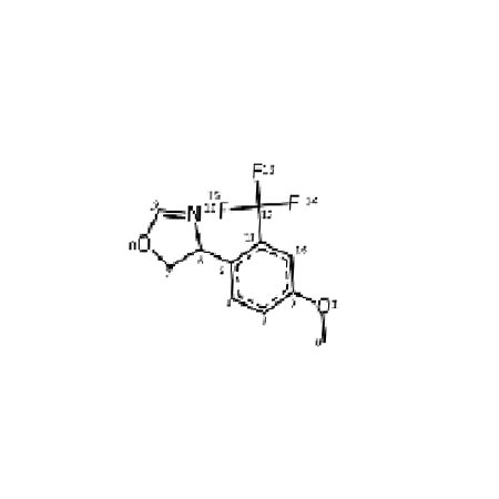 COc1ccc(C2CO[C]=N2)c(C(F)(F)F)c1